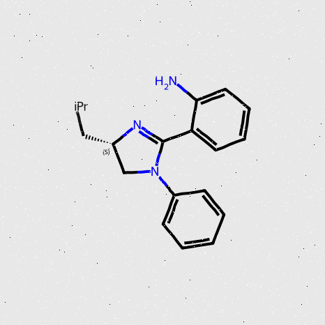 CC(C)C[C@H]1CN(c2ccccc2)C(c2ccccc2N)=N1